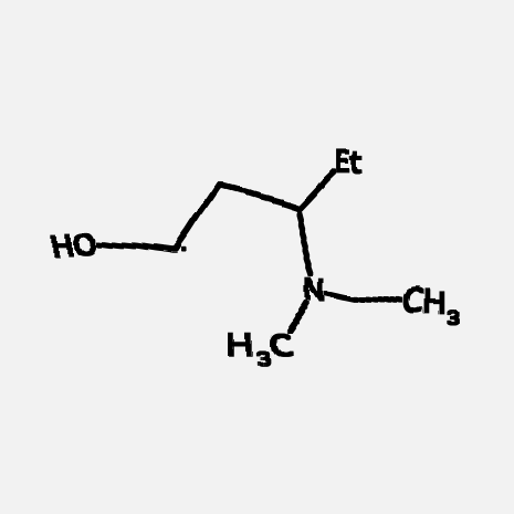 CCC(C[CH]O)N(C)C